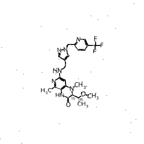 CO[C@H](C)[C@H]1C(=O)Nc2c(cc(NCc3cnn(Cc4ccc(C(F)(F)F)cn4)c3)nc2C)N1C